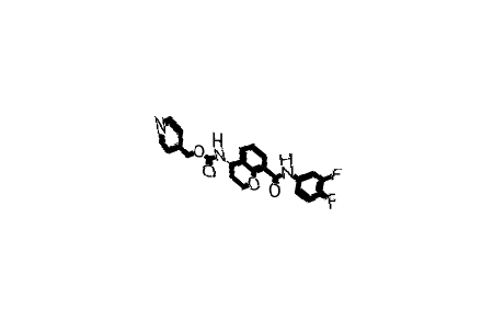 O=C(N[C@H]1CCOc2c(C(=O)Nc3ccc(F)c(F)c3)cccc21)OCc1ccncc1